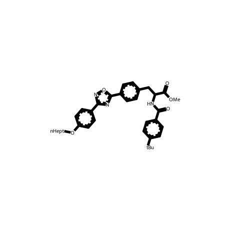 CCCCCCCOc1ccc(-c2noc(-c3ccc(CC(NC(=O)c4ccc(C(C)(C)C)cc4)C(=O)OC)cc3)n2)cc1